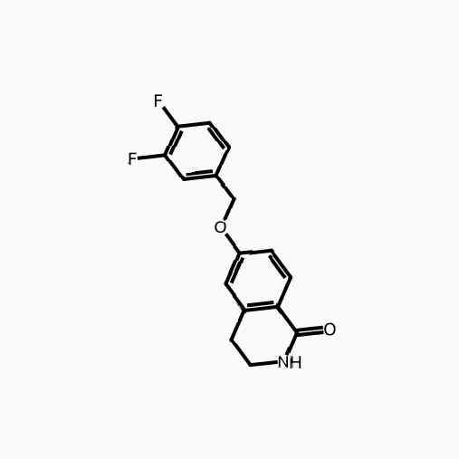 O=C1NCCc2cc(OCc3ccc(F)c(F)c3)ccc21